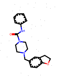 O=C(Nc1ccccc1)N1CCN(Cc2ccc3c(c2)CCO3)CC1